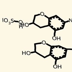 Nc1cc(O)c2c(c1)OCC(O)C2.Nc1cc(O)c2c(c1)OCC(O)C2.O=S(=O)(O)O